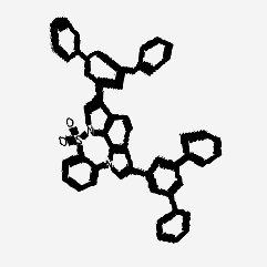 O=S1(=O)c2ccccc2-n2cc(-c3cc(-c4ccccc4)cc(-c4ccccc4)c3)c3ccc4c(-c5cc(-c6ccccc6)cc(-c6ccccc6)c5)cn1c4c32